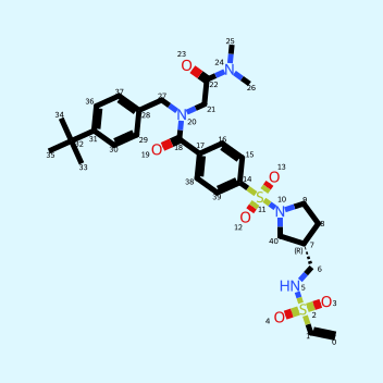 C=CS(=O)(=O)NC[C@H]1CCN(S(=O)(=O)c2ccc(C(=O)N(CC(=O)N(C)C)Cc3ccc(C(C)(C)C)cc3)cc2)C1